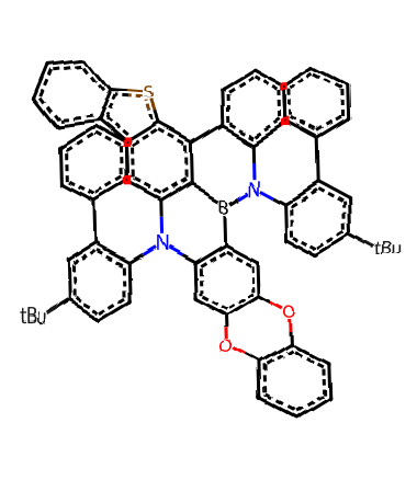 CC(C)(C)c1ccc(N2B3c4cc5c(cc4N(c4ccc(C(C)(C)C)cc4-c4ccccc4)c4cc6c(sc7ccccc76)c(c43)-c3ccccc32)Oc2ccccc2O5)c(-c2ccccc2)c1